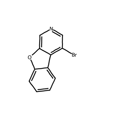 Brc1cncc2oc3ccccc3c12